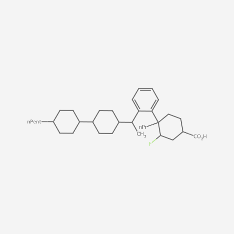 CCCCCC1CCC(C2CCC(C(C)c3ccccc3C3(CCC)CCC(C(=O)O)CC3F)CC2)CC1